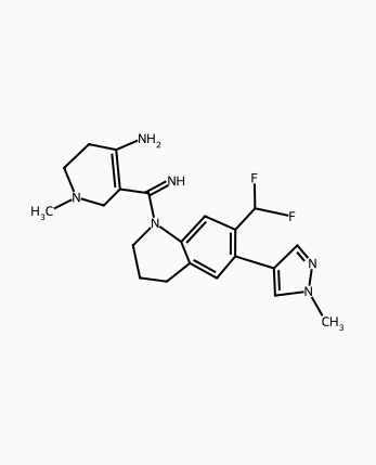 CN1CCC(N)=C(C(=N)N2CCCc3cc(-c4cnn(C)c4)c(C(F)F)cc32)C1